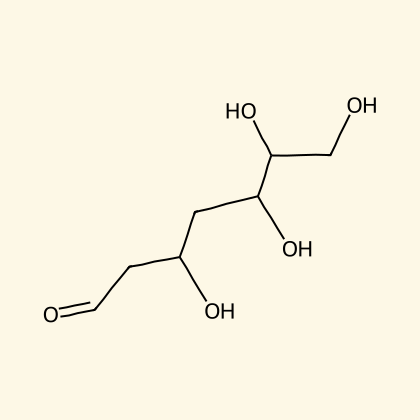 O=CCC(O)CC(O)C(O)CO